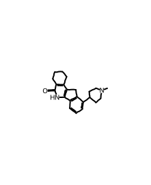 CN1CCC(c2cccc3c2Cc2c-3[nH]c(=O)c3c2CCCC3)CC1